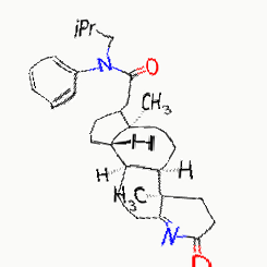 CC(C)CN(C(=O)C1CC[C@H]2[C@@H]3CCC4=NC(=O)CC[C@]4(C)[C@@H]3CC[C@]12C)c1ccccc1